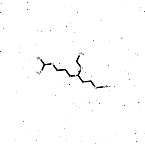 CCCCCCOCCC([CH]CCOC(C)C(C)C)OCC(C)(C)C